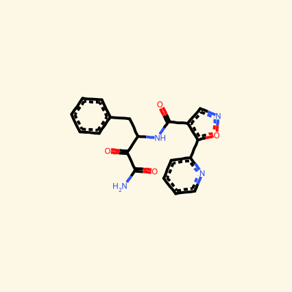 NC(=O)C(=O)C(Cc1ccccc1)NC(=O)c1cnoc1-c1ccccn1